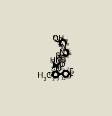 Cc1ccc(C2CCC(F)(F)CC2)c(OC2(C(=O)NS(=O)(=O)c3cccc(N4CCC[C@H](CO)C4)n3)CC2)c1